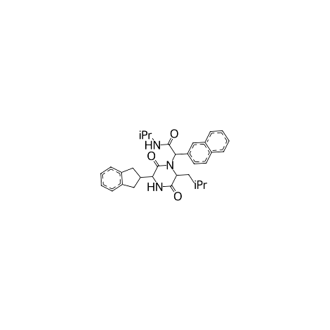 CC(C)CC1C(=O)NC(C2Cc3ccccc3C2)C(=O)N1C(C(=O)NC(C)C)c1ccc2ccccc2c1